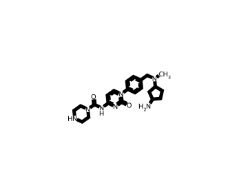 CN(Cc1ccc(-n2ccc(NC(=O)N3CCNCC3)nc2=O)cc1)C1CCC(N)C1